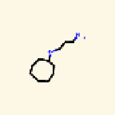 NCCCNC1CCCCCCC1